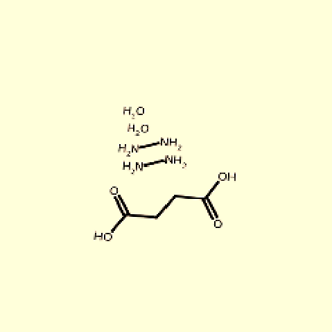 NN.NN.O.O.O=C(O)CCC(=O)O